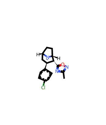 Cc1noc([C@@H]2[C@@H](c3ccc(Cl)cc3)C[C@@H]3CC[C@H]2N3C)n1